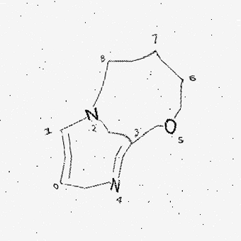 c1cn2c(n1)OCCC2